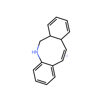 C1=CC2/C=C\c3ccccc3NCC2C=C1